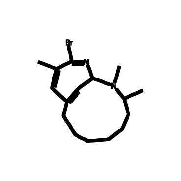 CC1=CC2=CC(N=C1Br)N(C)C(C)CCCCCC2